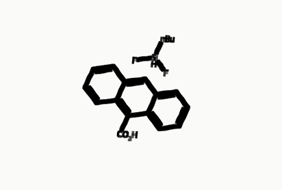 CCCC[SiH](F)F.O=C(O)c1c2ccccc2cc2ccccc12